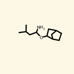 CC(C)CC(N)OC1CC2CCC1C2